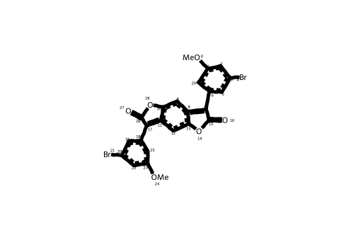 COc1cc(Br)cc(C2=c3cc4c(cc3OC2=O)=C(c2cc(Br)cc(OC)c2)C(=O)O4)c1